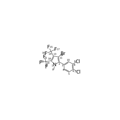 Cn1c(-c2ccc(Cl)c(Cl)c2)c(Br)c(C(F)(F)F)c1C(F)(F)F